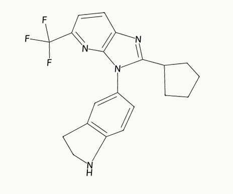 FC(F)(F)c1ccc2nc(C3CCCC3)n(-c3ccc4c(c3)CCN4)c2n1